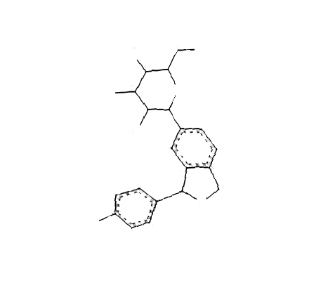 CCc1ccc(C2OCc3ccc(C4OC(CO)C(O)C(O)C4O)cc32)cc1